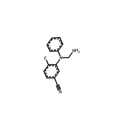 N#Cc1ccc(F)c(N(CN)c2ccccc2)c1